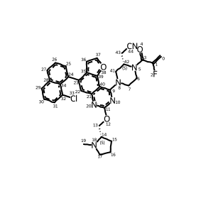 C=C(F)C(=O)N1CCN(c2nc(OC[C@@H]3CCCN3C)nc3cc(-c4cccc5cccc(Cl)c45)c4ccoc4c23)C[C@@H]1CC#N